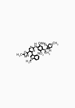 COc1cc(N(C)[C@H]2[C@@H]3CN(C)C[C@@H]32)c([N+](=O)[O-])cc1Nc1ncc(-c2nnc(C)o2)c(-c2cn(C)c3ccccc23)n1